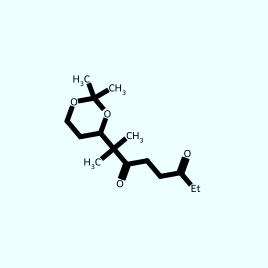 CCC(=O)CCC(=O)C(C)(C)C1CCOC(C)(C)O1